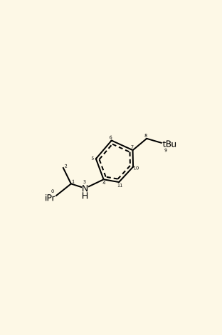 CC(C)C(C)Nc1ccc(CC(C)(C)C)cc1